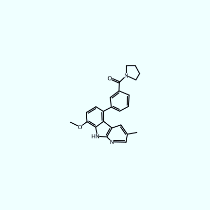 COc1ccc(-c2cccc(C(=O)N3CCCC3)c2)c2c1[nH]c1ncc(C)cc12